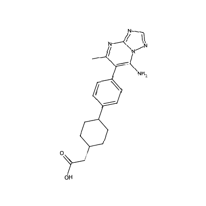 Cc1nc2ncnn2c(N)c1-c1ccc(C2CCC(CC(=O)O)CC2)cc1